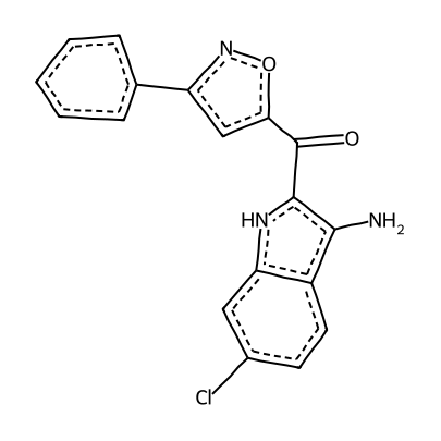 Nc1c(C(=O)c2cc(-c3ccccc3)no2)[nH]c2cc(Cl)ccc12